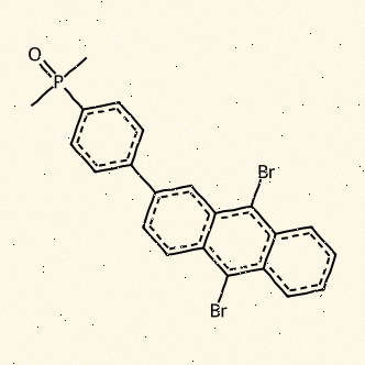 CP(C)(=O)c1ccc(-c2ccc3c(Br)c4ccccc4c(Br)c3c2)cc1